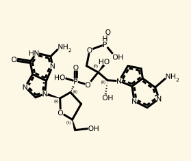 Nc1nc2c(ncn2[C@@H]2O[C@H](CO)C[C@H]2P(=O)(O)O[C@](O)(CO[PH](=O)O)[C@@H](O)n2ccc3c(N)ncnc32)c(=O)[nH]1